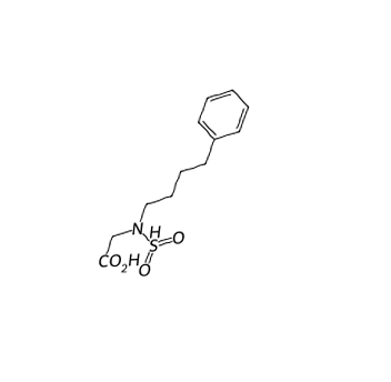 O=C(O)CN(CCCCc1ccccc1)[SH](=O)=O